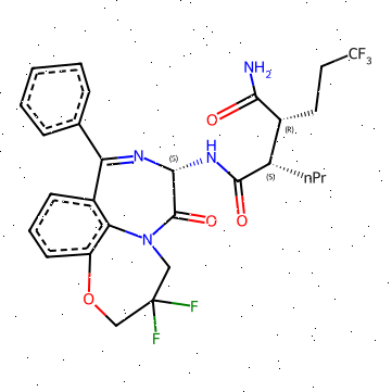 CCC[C@H](C(=O)N[C@H]1N=C(c2ccccc2)c2cccc3c2N(CC(F)(F)CO3)C1=O)[C@@H](CCC(F)(F)F)C(N)=O